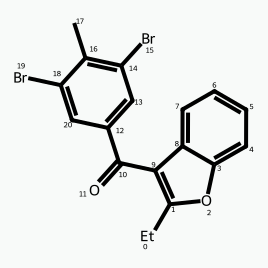 CCc1oc2ccccc2c1C(=O)c1cc(Br)c(C)c(Br)c1